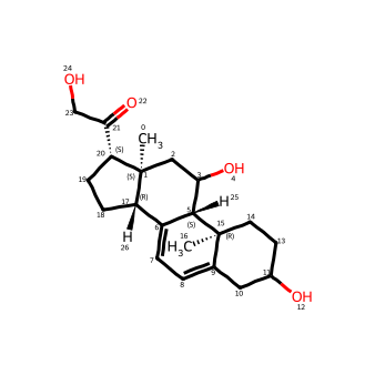 C[C@]12CC(O)[C@H]3C(=CC=C4CC(O)CC[C@@]43C)[C@@H]1CC[C@@H]2C(=O)CO